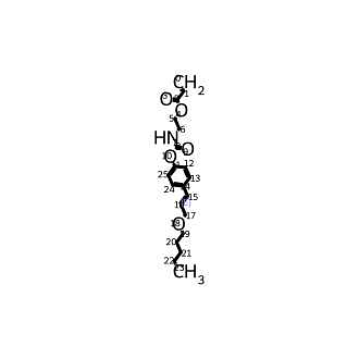 C=CC(=O)OCCNC(=O)Oc1ccc(/C=C/COCCCCC)cc1